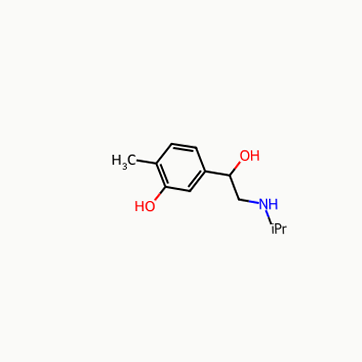 Cc1ccc(C(O)CNC(C)C)cc1O